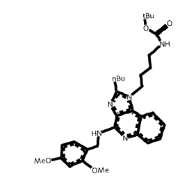 CCCCc1nc2c(NCc3ccc(OC)cc3OC)nc3ccccc3c2n1CCCCNC(=O)OC(C)(C)C